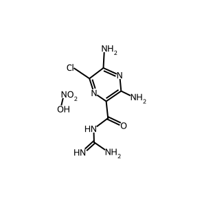 N=C(N)NC(=O)c1nc(Cl)c(N)nc1N.O=[N+]([O-])O